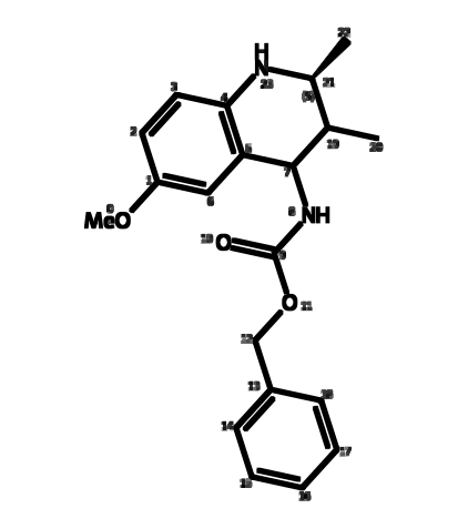 COc1ccc2c(c1)C(NC(=O)OCc1ccccc1)C(C)[C@H](C)N2